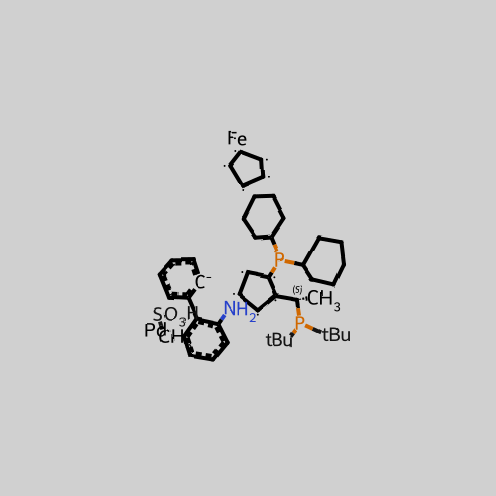 CS(=O)(=O)O.C[C@@H]([C]1[CH][CH][CH][C]1P(C1CCCCC1)C1CCCCC1)P(C(C)(C)C)C(C)(C)C.Nc1ccccc1-c1[c-]cccc1.[CH]1[CH][CH][CH][CH]1.[Fe].[Pd]